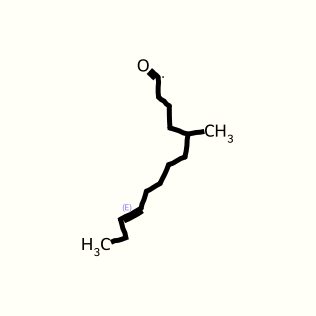 CC/C=C/CCCCC(C)CCC[C]=O